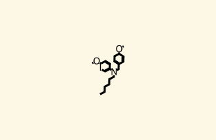 C/C=C(\C=C/C(I)OC)N(CCCCCC)CC1=CCC(OC)C=C1